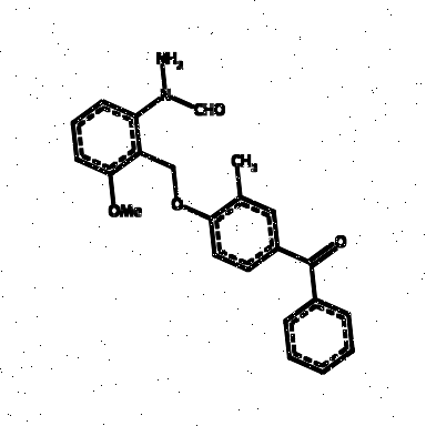 COc1cccc(N(N)C=O)c1COc1ccc(C(=O)c2ccccc2)cc1C